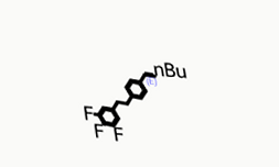 CCCC/C=C/c1ccc(CCc2cc(F)c(F)c(F)c2)cc1